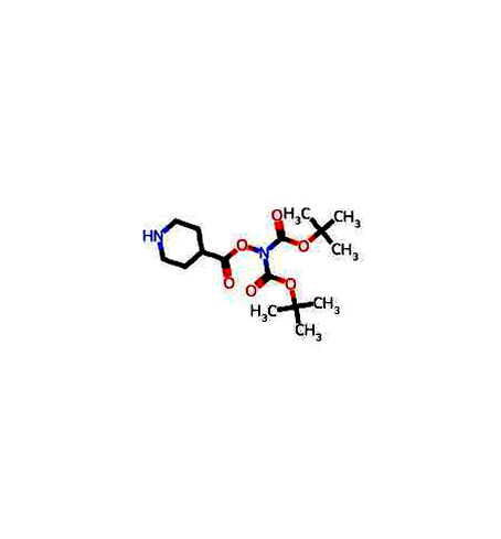 CC(C)(C)OC(=O)N(OC(=O)C1CCNCC1)C(=O)OC(C)(C)C